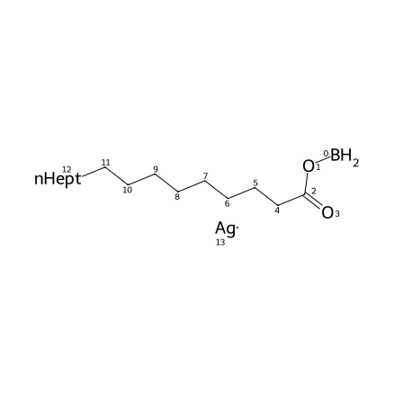 BOC(=O)CCCCCCCCCCCCCCC.[Ag]